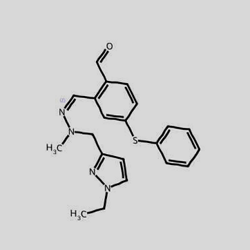 CCn1ccc(CN(C)/N=C\c2cc(Sc3ccccc3)ccc2C=O)n1